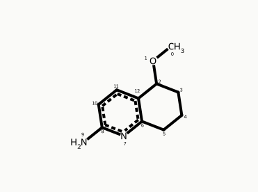 COC1CCCc2nc(N)ccc21